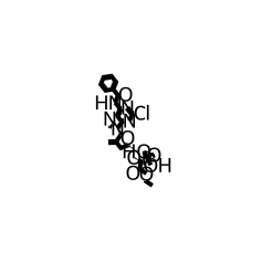 C=C1C[C@@H](CO[C@@H](C(=O)OCC)P(=O)(O)O)O[C@H]1n1cnc2c(NC(=O)c3ccccc3)nc(Cl)nc21